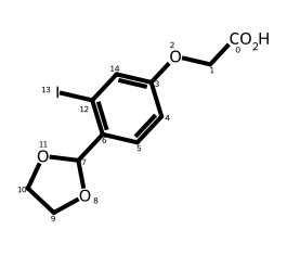 O=C(O)COc1ccc(C2OCCO2)c(I)c1